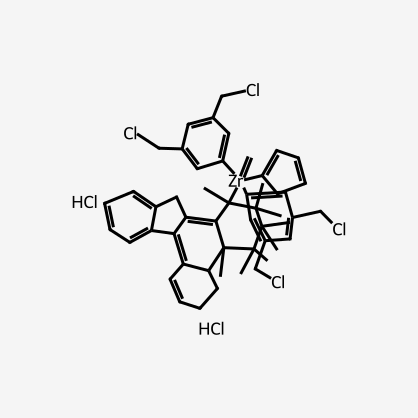 Cl.Cl.[CH2]=[Zr]([C]1=CC=CC1)([c]1cc(CCl)cc(CCl)c1)([c]1cc(CCl)cc(CCl)c1)[C]1(C)C2=C3Cc4ccccc4C3=C3C=CCCC3C2(C)C(C)(C)C(C)(C)C1(C)C